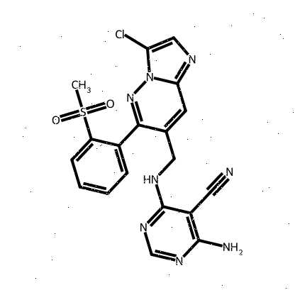 CS(=O)(=O)c1ccccc1-c1nn2c(Cl)cnc2cc1CNc1ncnc(N)c1C#N